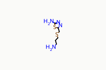 NCCCSCc1nnc(N)s1